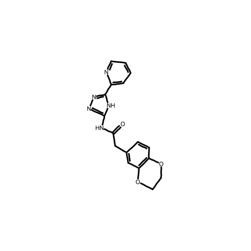 O=C(Cc1ccc2c(c1)OCCO2)Nc1nnc(-c2ccccn2)[nH]1